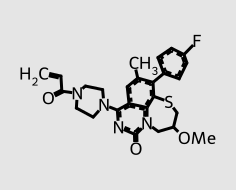 C=CC(=O)N1CCN(c2nc(=O)n3c4c(c(-c5ccc(F)cc5)c(C)cc24)SCC(OC)C3)CC1